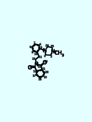 CN1CCN(c2ccccc2CCN2C(=O)c3ccccc3C2=O)CC1